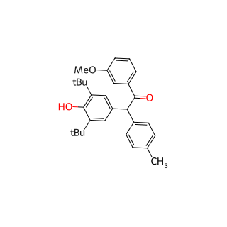 COc1cccc(C(=O)C(c2ccc(C)cc2)c2cc(C(C)(C)C)c(O)c(C(C)(C)C)c2)c1